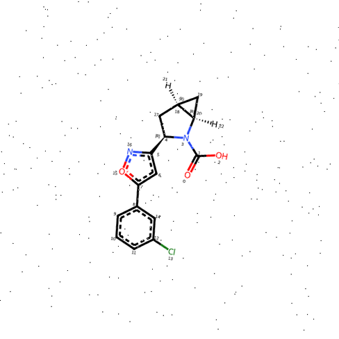 O=C(O)N1[C@@H](c2cc(-c3cccc(Cl)c3)on2)C[C@H]2C[C@H]21